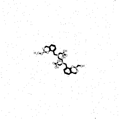 COB1OCc2cccc(CN(CCN(Cc3cccc4c3OB(CO)OC4)CP(=O)(O)O)CP(=O)(O)O)c2O1